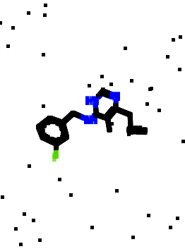 COCC1=C(C)C(NCc2cccc(F)c2)N[C]=N1